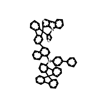 c1ccc(-c2ccc(N(c3cccc4c3-c3ccccc3C43c4ccccc4-c4ccccc43)c3ccc(-c4ccc5c(c4)C4(c6ccccc6-5)c5ccccc5-n5c6ccccc6c6cccc4c65)c4ccccc34)cc2)cc1